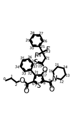 CCCOC(=O)c1sc(C(=O)N2CCCCC2)c(OC(=S)CC(F)(F)c2ccccc2)c1-c1ccccc1